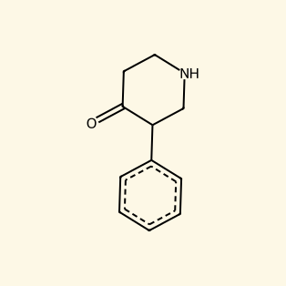 O=C1CCNCC1c1ccccc1